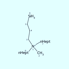 CCCCCCC[N+](C)(CCC[SiH3])CCCCCCC